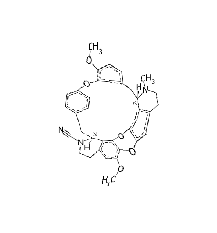 COc1ccc2cc1Oc1ccc(cc1)C[C@H]1c3c(cc(OC)c4c3Oc3cc5c(cc3O4)CCN(C)[C@H]5C2)CCN1C#N